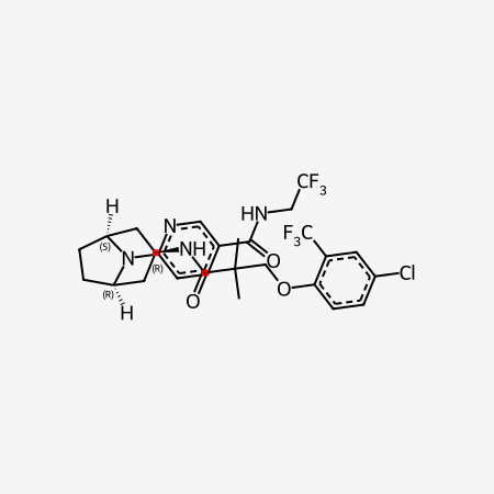 CC(C)(COc1ccc(Cl)cc1C(F)(F)F)C(=O)N[C@H]1C[C@H]2CC[C@@H](C1)N2c1ccc(C(=O)NCC(F)(F)F)cn1